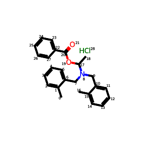 Cc1ccccc1CN(Cc1ccccc1C)C(C)OC(=O)c1ccccc1.Cl